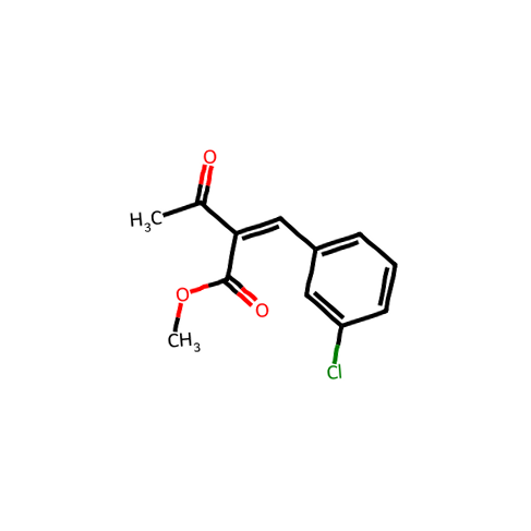 COC(=O)/C(=C\c1cccc(Cl)c1)C(C)=O